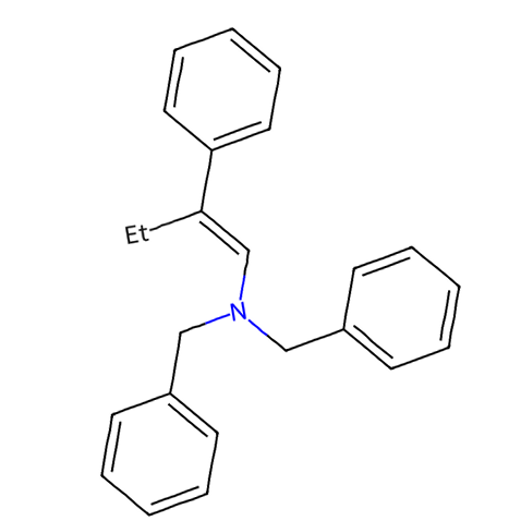 CC/C(=C\N(Cc1ccccc1)Cc1ccccc1)c1ccccc1